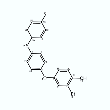 CCc1cc(Oc2ccc(SC3C=CC(C)=CC3)cc2)ccc1O